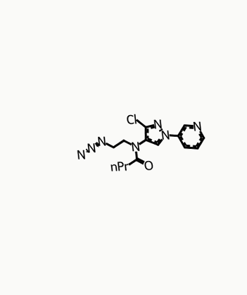 CCCC(=O)N(CCN=[N+]=[N-])c1cn(-c2cccnc2)nc1Cl